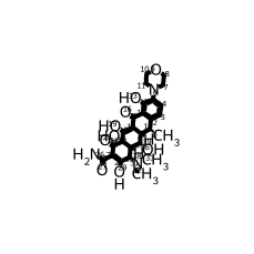 C[C@@H]1c2ccc(N3CCOCC3)c(O)c2C(=O)C2=C(O)[C@]3(O)C(=O)C(C(N)=O)=C(O)[C@H](N(C)C)[C@H]3[C@H](O)[C@H]21